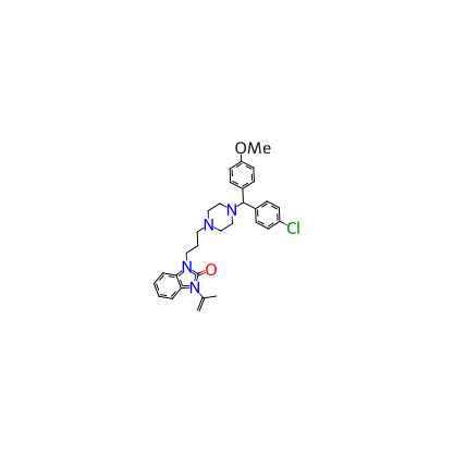 C=C(C)n1c(=O)n(CCCN2CCN(C(c3ccc(Cl)cc3)c3ccc(OC)cc3)CC2)c2ccccc21